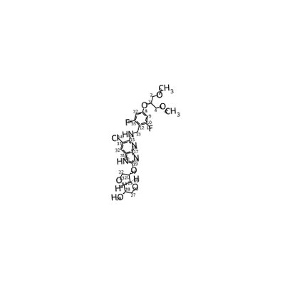 COCC(COC)Oc1cc(F)c(CNc2nc3nc(O[C@@H]4CO[C@H]5[C@@H]4OC[C@H]5O)[nH]c3cc2Cl)c(F)c1